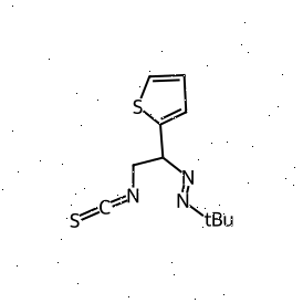 CC(C)(C)N=NC(CN=C=S)c1cccs1